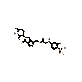 CN(C)c1ccc(NCC(=O)NCc2scc3c2CN(C2CCC(=O)NC2=O)C3=O)cc1Cl